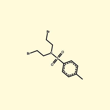 Cc1ccc(S(=O)(=O)N(CCBr)CCBr)cc1